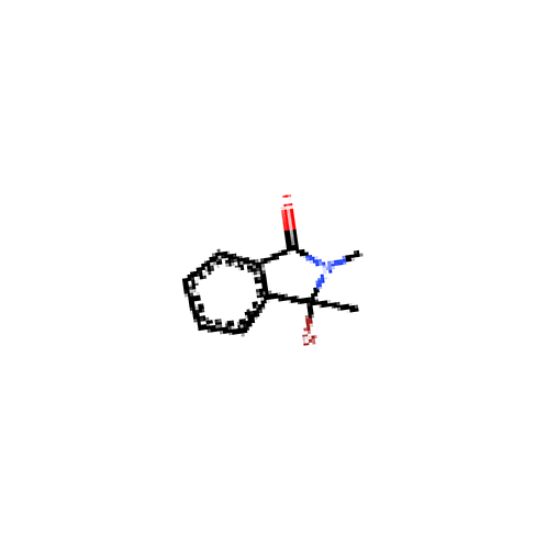 CN1C(=O)c2ccccc2C1(C)Br